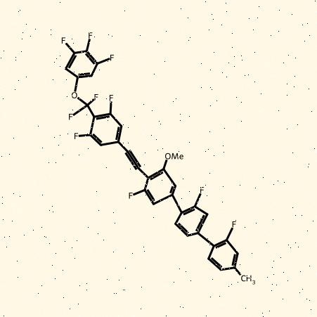 COc1cc(-c2ccc(-c3ccc(C)cc3F)cc2F)cc(F)c1C#Cc1cc(F)c(C(F)(F)Oc2cc(F)c(F)c(F)c2)c(F)c1